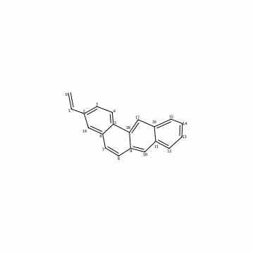 C=Cc1ccc2c(ccc3cc4ccccc4cc32)c1